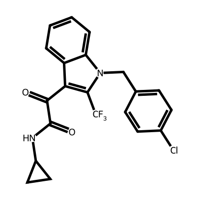 O=C(NC1CC1)C(=O)c1c(C(F)(F)F)n(Cc2ccc(Cl)cc2)c2ccccc12